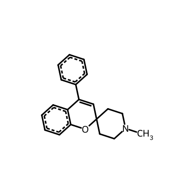 CN1CCC2(C=C(c3ccccc3)c3ccccc3O2)CC1